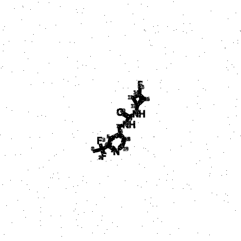 CC(F)(F)c1cc(CNC(=O)NC23CC(F)(C2)C3)ccn1